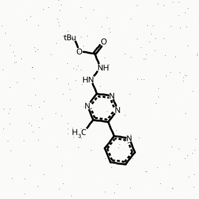 Cc1nc(NNC(=O)OC(C)(C)C)nnc1-c1ccccn1